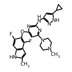 Cc1cc2c(F)c(Oc3cc(N4CCN(C)CC4)nc(Nc4cc(C5CC5)[nH]n4)n3)c(F)cc2[nH]1